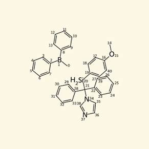 CB(c1ccccc1)c1ccccc1.COc1ccc([SiH2]C(c2ccccc2)(c2ccccc2)n2ccnc2)cc1